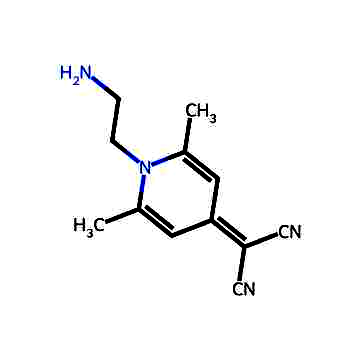 CC1=CC(=C(C#N)C#N)C=C(C)N1CCN